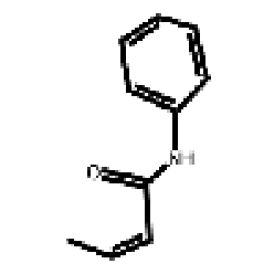 C/C=C\C(=O)Nc1ccccc1